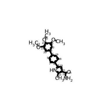 COc1cc(-c2ccc(-c3cc(C(N)=O)c(C)[nH]3)cc2)cc(OC)c1OC